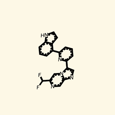 FC(F)c1cn2c(-c3cccc(-c4cccc5[nH]ccc45)n3)cnc2cn1